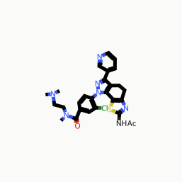 CC(=O)Nc1nc2c(s1)-c1c(c(-c3cccnc3)nn1-c1ccc(C(=O)N(C)CCN(C)C)cc1Cl)CC2